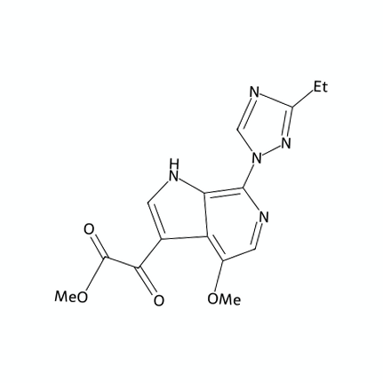 CCc1ncn(-c2ncc(OC)c3c(C(=O)C(=O)OC)c[nH]c23)n1